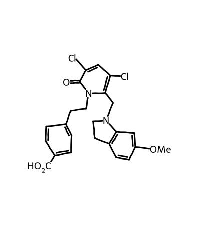 COc1ccc2c(c1)N(Cc1c(Cl)cc(Cl)c(=O)n1CCc1ccc(C(=O)O)cc1)CC2